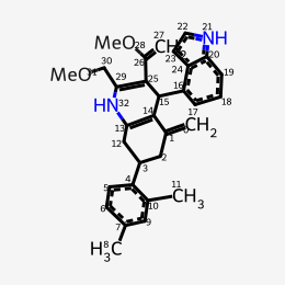 C=C1CC(c2ccc(C)cc2C)CC2=C1C(c1cccc3[nH]ccc13)C(C(=C)OC)=C(COC)N2